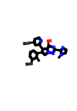 COc1ccnc(-c2c(-c3cccc(OC)c3C)cn3nc(-c4nccn4C)nc(O)c23)c1